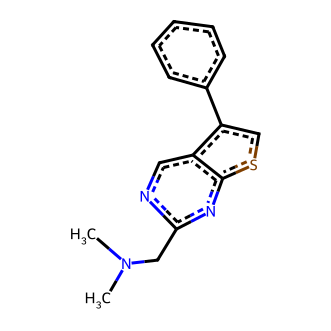 CN(C)Cc1ncc2c(-c3ccccc3)csc2n1